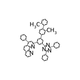 Cc1ccccc1-c1ccc(-c2cc(-c3cc(-c4ccccc4)c4ccc5cccnc5c4n3)cc(-c3nc(-c4ccccc4)nc(-c4ccccc4)n3)c2)cc1C